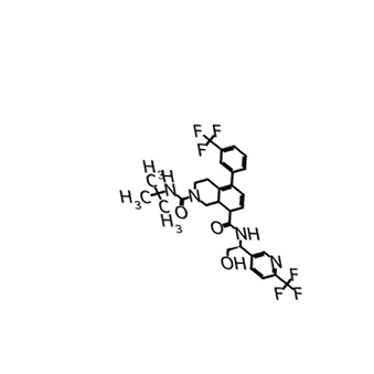 CC(C)(C)NC(=O)N1CCC2=C(c3cccc(C(F)(F)F)c3)C=CC(C(=O)N[C@H](CO)c3ccc(C(F)(F)F)nc3)C2C1